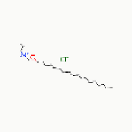 CCCCCCCCC=CCCCCCCCCOC[N+](C)(C)CCC.[Cl-]